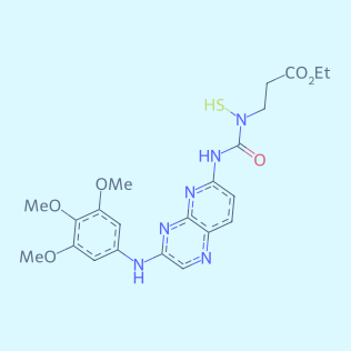 CCOC(=O)CCN(S)C(=O)Nc1ccc2ncc(Nc3cc(OC)c(OC)c(OC)c3)nc2n1